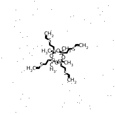 C=CSCC[Si]1(C)O[Si](C)(CCSC=C)O[Si](C)(CCSC=C)O[Si](C)(CCSC=C)O1